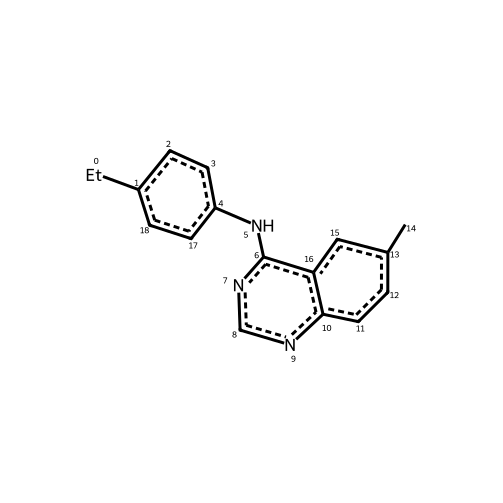 CCc1ccc(Nc2ncnc3ccc(C)cc23)cc1